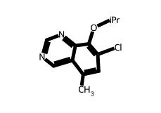 Cc1cc(Cl)c(OC(C)C)c2ncncc12